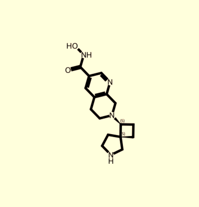 O=C(NO)c1cnc2c(c1)CCN([C@H]1CC[C@@]13CCNC3)C2